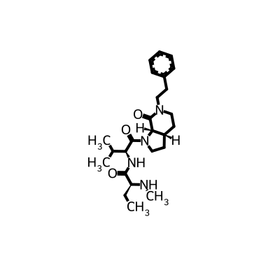 CC[C@H](NC)C(=O)N[C@H](C(=O)N1CC[C@H]2CCN(CCc3ccccc3)C(=O)[C@H]21)C(C)C